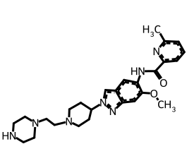 COc1cc2nn(C3CCN(CCN4CCNCC4)CC3)cc2cc1NC(=O)c1cccc(C)n1